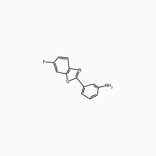 Nc1cccc(-c2nc3ccc(F)cc3o2)c1